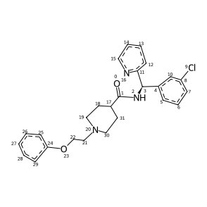 O=C(N[C@H](c1cccc(Cl)c1)c1ccccn1)C1CCN(CCOc2ccccc2)CC1